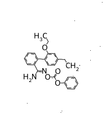 [CH2]Cc1ccc(-c2ccccc2C(N)=NOC(=O)Oc2ccccc2)c(OCC)c1